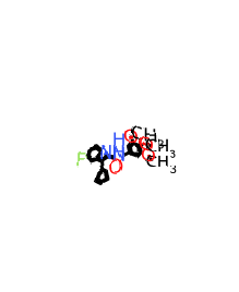 COc1cc(CNC(=O)c2[nH]c3ccc(F)cc3c2-c2ccccc2)cc(OC)c1OC